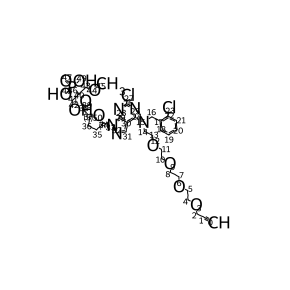 C#CCOCCOCCOCCOCCN(Cc1ccccc1Cl)c1nc(Cl)nc2c1cnn2[C@H]1CC[C@@H](COC(CO)(COC)P(=O)(O)O)O1